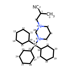 CC(C#N)CN1CCCN([Si](C2CCCCC2)(C2CCCCC2)C2CCCCC2)C1